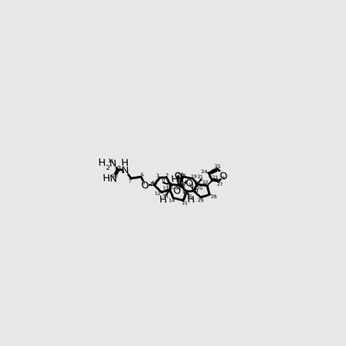 C[C@]12CC[C@H](OCCNC(=N)N)C[C@H]1CC[C@@H]1[C@@H]2CC[C@]2(C)[C@@H](c3ccoc3)CC[C@]12O[N+](=O)[O-]